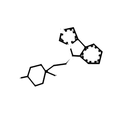 OC1CCC(F)(CC[C@@H]2c3ccccc3-c3cncn32)CC1